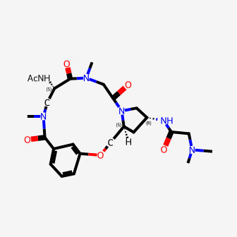 CC(=O)N[C@H]1CN(C)C(=O)c2cccc(c2)OC[C@@H]2C[C@@H](NC(=O)CN(C)C)CN2C(=O)CN(C)C1=O